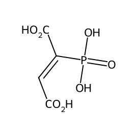 O=C(O)C=C(C(=O)O)P(=O)(O)O